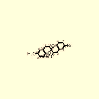 CCCCCC1=Cc2cc(Br)ccc2OC12C=Cc1cc(C)ccc1O2